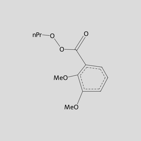 [CH2]CCOOC(=O)c1cccc(OC)c1OC